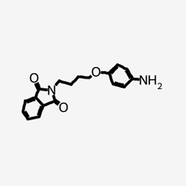 Nc1ccc(OCCCCN2C(=O)c3ccccc3C2=O)cc1